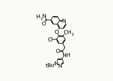 Cc1cc(CC(=O)Nc2cnn(C(C)(C)C)c2)cc(Cl)c1Oc1ccnc2ccc(C(N)=O)cc12